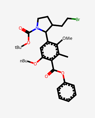 CCCCOc1cc(C2C(CCBr)CCN2C(=O)OC(C)(C)C)c(OC)c(C)c1C(=O)Oc1ccccc1